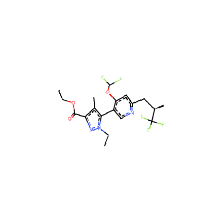 CCOC(=O)c1nn(CC)c(-c2cnc(C[C@@H](C)C(F)(F)F)cc2OC(F)F)c1C